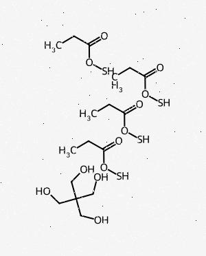 CCC(=O)OS.CCC(=O)OS.CCC(=O)OS.CCC(=O)OS.OCC(CO)(CO)CO